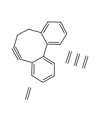 C1#Cc2ccccc2-c2ccccc2CC1.C=C.C=C.C=C.C=C